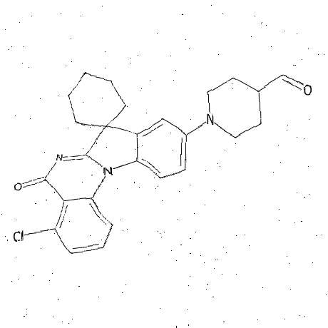 O=CC1CCN(c2ccc3c(c2)C2(CCCCC2)c2nc(=O)c4c(Cl)cccc4n2-3)CC1